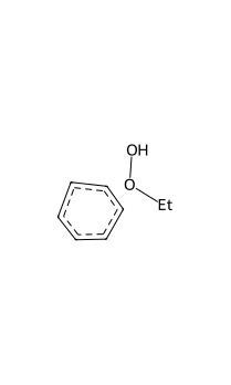 CCOO.c1ccccc1